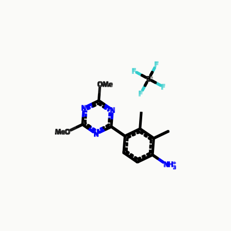 COc1nc(OC)nc(-c2ccc([NH3+])c(C)c2C)n1.F[B-](F)(F)F